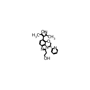 Cc1noc(C)c1-c1ccc2nc(CCO)n3c2c1OC[C@@H]3c1ccccn1